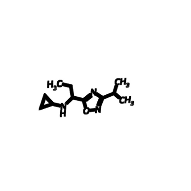 CCC(NC1CC1)c1nc(C(C)C)no1